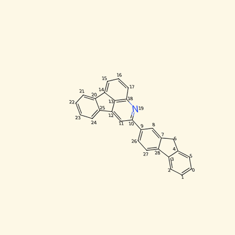 c1ccc2c(c1)Cc1cc(-c3cc4c5c(cccc5n3)-c3ccccc3-4)ccc1-2